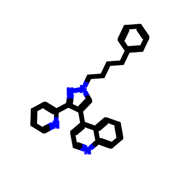 c1ccc(CCCCn2cc(-c3ccnc4ccccc34)c(-c3ccccn3)n2)cc1